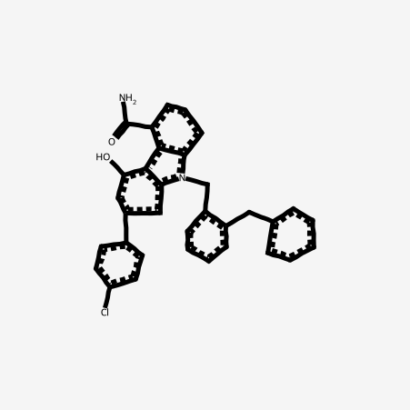 NC(=O)c1cccc2c1c1c(O)cc(-c3ccc(Cl)cc3)cc1n2Cc1ccccc1Cc1ccccc1